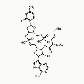 CN[C@@H](CSSC(C)(C)C)C(=O)OC1C(COP(=O)(O)O[C@H]2C[C@H](n3ccc(N)nc3=O)O[C@@H]2COP(=O)(O)O)OC(n2cnc3c(N)ncnc32)C1O